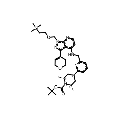 C[C@@H]1CN(c2cccc(CNc3ccnc4c3c(C3=CCOCC3)nn4COCC[Si](C)(C)C)n2)C[C@H](C)N1C(=O)OC(C)(C)C